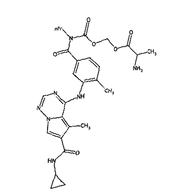 CCCN(C(=O)OCOC(=O)C(C)N)C(=O)c1ccc(C)c(Nc2ncnn3cc(C(=O)NC4CC4)c(C)c23)c1